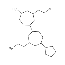 CCCC1CC(C2CCCC2)CCC(C2CCC(C)CC(CCS)C2)C1